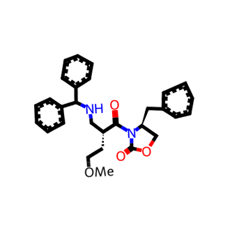 COCC[C@H](CNC(c1ccccc1)c1ccccc1)C(=O)N1C(=O)OC[C@@H]1Cc1ccccc1